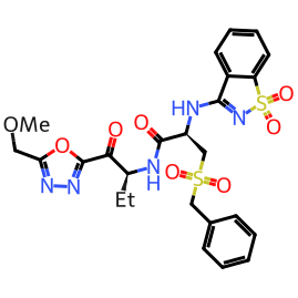 CC[C@H](NC(=O)[C@H](CS(=O)(=O)Cc1ccccc1)NC1=NS(=O)(=O)c2ccccc21)C(=O)c1nnc(COC)o1